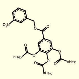 CCCCCCC(=O)Oc1cc(C(=O)OCc2cccc([N+](=O)[O-])c2)cc(OC(=O)CCCCCC)c1OC(=O)CCCCCC